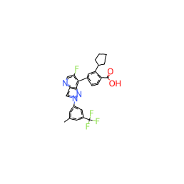 Cc1cc(-n2cc3ncc(F)c(-c4ccc(C(=O)O)c(C5CCCC5)c4)c3n2)cc(C(F)(F)F)c1